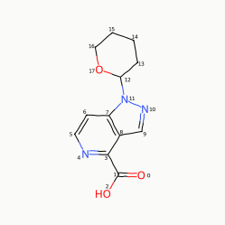 O=C(O)c1nccc2c1cnn2C1CCCCO1